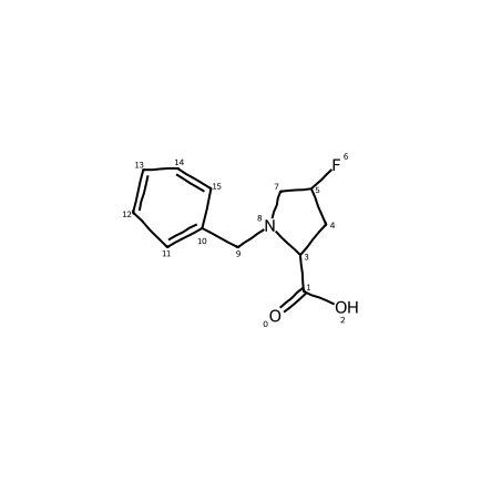 O=C(O)C1CC(F)CN1Cc1ccccc1